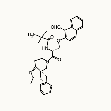 CN1N=C2CCN(C(=O)[C@@H](COc3ccc4ccccc4c3C=O)NC(=O)C(C)(C)N)C[C@@]2(Cc2ccccc2)C1=O